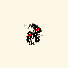 Cc1ccc2cccc(Oc3c(-c4ccccc4)c(O)c(-c4ccccc4)c(Oc4cccc5ccc(C)nc45)c3-c3ccccc3)c2n1